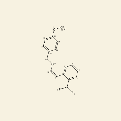 FC(F)c1ccccc1/[C]=N\OCc1ccc(OC(F)(F)F)cc1